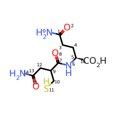 NC(=O)CC[C@H](NC(=O)C(CS)CC(N)=O)C(=O)O